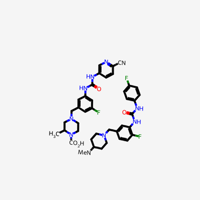 CC1CN(Cc2cc(F)cc(NC(=O)Nc3ccc(C#N)nc3)c2)CCN1C(=O)O.CNC1CCN(Cc2ccc(F)c(NC(=O)Nc3ccc(F)cc3)c2)CC1